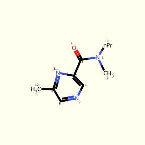 CCCN(C)C(=O)c1cncc(C)n1